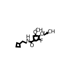 C#CCOc1c(F)cc(C(=O)NCCC2CCC2)cc1OC